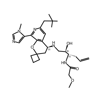 C=CC[C@H](NC(=O)COC)[C@H](O)CN[C@H]1CC2(CCC2)Oc2c1cc(CC(C)(C)C)nc2-c1cncn1C